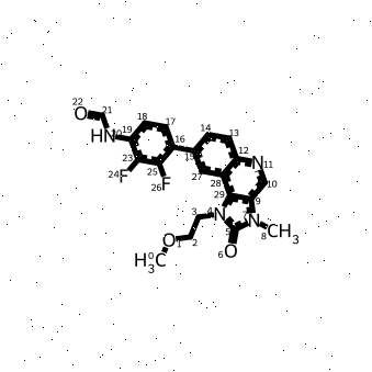 COCCn1c(=O)n(C)c2cnc3ccc(-c4ccc(NC=O)c(F)c4F)cc3c21